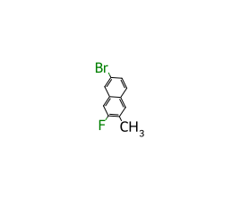 Cc1cc2ccc(Br)cc2cc1F